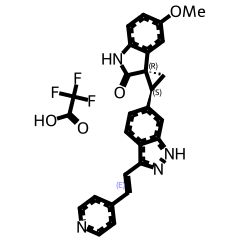 COc1ccc2c(c1)[C@]1(C[C@H]1c1ccc3c(/C=C/c4ccncc4)n[nH]c3c1)C(=O)N2.O=C(O)C(F)(F)F